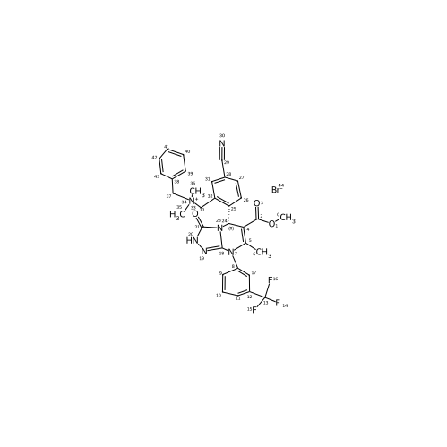 COC(=O)C1=C(C)N(c2cccc(C(F)(F)F)c2)c2n[nH]c(=O)n2[C@@H]1c1ccc(C#N)cc1C[N+](C)(C)Cc1ccccc1.[Br-]